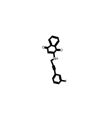 O=C1C=C(NCC#Cc2cccc(F)c2)C(=O)c2ccccc21